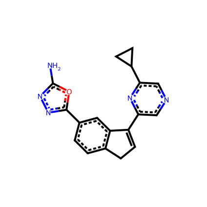 Nc1nnc(-c2ccc3c(c2)C(c2cncc(C4CC4)n2)=CC3)o1